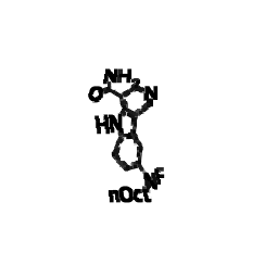 CCCCCCCCN(F)c1ccc2[nH]c3c(C(N)=O)cncc3c2c1